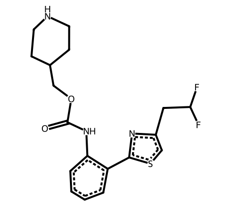 O=C(Nc1ccccc1-c1nc(CC(F)F)cs1)OCC1CCNCC1